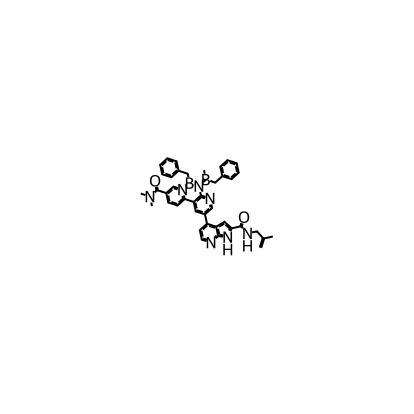 C=C(C)CNC(=O)c1cc2c(-c3cnc(N(B(C)Cc4ccccc4)B(C)Cc4ccccc4)c(-c4ccc(C(=O)N(C)C)cn4)c3)ccnc2[nH]1